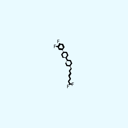 Fc1ccc([C@H]2CC[C@H]([C@H]3CC[C@H](CCC=CCCC(F)F)CC3)CC2)cc1F